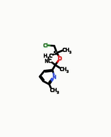 Cc1cccc(C(C)(C#N)O[Si](C)(C)CCl)n1